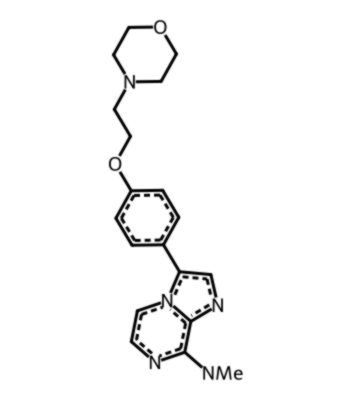 CNc1nccn2c(-c3ccc(OCCN4CCOCC4)cc3)cnc12